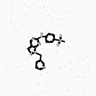 CS(=O)(=O)c1ccc(Nc2ncc3cnn(Cc4cccnc4)c3n2)cc1